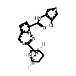 O=C(Nc1cscc1Cl)c1ccc2cnc(N3C[C@H]4CC[C@@H]3CN4)nn12